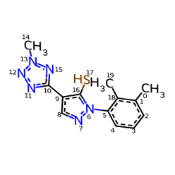 Cc1cccc(-n2ncc(-c3nnn(C)n3)c2S)c1C